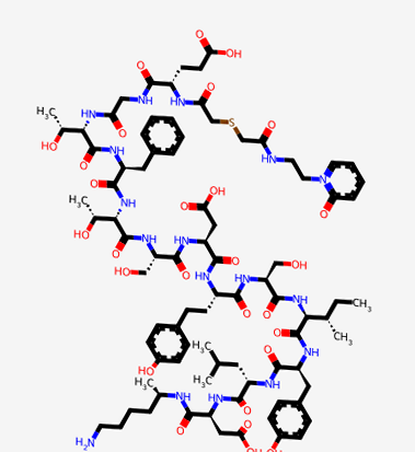 CC[C@H](C)[C@H](NC(=O)[C@H](CO)NC(=O)[C@H](CCc1ccc(O)cc1)NC(=O)[C@H](CC(=O)O)NC(=O)[C@H](CO)NC(=O)[C@@H](NC(=O)[C@H](Cc1ccccc1)NC(=O)[C@@H](NC(=O)CNC(=O)[C@H](CCC(=O)O)NC(=O)CSCC(=O)NCCn1ccccc1=O)[C@@H](C)O)[C@@H](C)O)C(=O)N[C@@H](Cc1ccc(O)cc1)C(=O)N[C@@H](CC(C)C)C(=O)N[C@@H](CC(=O)O)C(=O)N[C@H](C)CCCCN